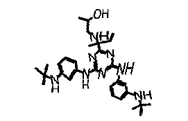 CCC(C)(NCC(C)O)c1nc(Nc2cccc(NC(C)(C)C)c2)nc(Nc2cccc(NC(C)(C)C)c2)n1